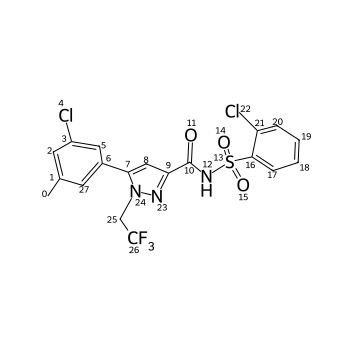 Cc1cc(Cl)cc(-c2cc(C(=O)NS(=O)(=O)c3ccccc3Cl)nn2CC(F)(F)F)c1